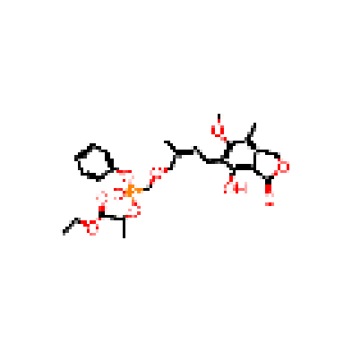 CCOC(=O)C(C)OP(=O)(COCC(C)=CCc1c(O)c2c(c(C)c1OC)COC2=O)Oc1ccccc1